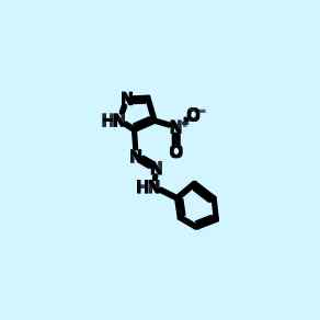 O=[N+]([O-])c1cn[nH]c1N=NNc1ccccc1